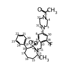 CC(=O)N1CCN(c2ccc(CN3[C@@H](C)CCCC(c4ccccc4)S3(=O)=O)c(F)c2)CC1